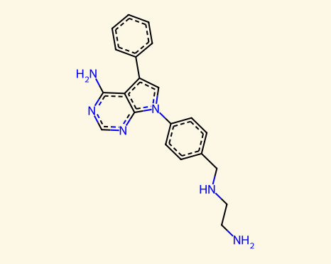 NCCNCc1ccc(-n2cc(-c3ccccc3)c3c(N)ncnc32)cc1